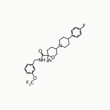 CC(C)C1(C(=O)NCc2cccc(OC(F)(F)F)c2)CCC(N2CCC(c3ccc(F)cc3)CC2)CO1